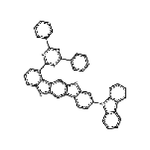 c1ccc(-c2nc(-c3ccccc3)nc(-c3cccc4oc5cc6c(cc5c34)sc3cc(-n4c5ccccc5c5ccccc54)ccc36)n2)cc1